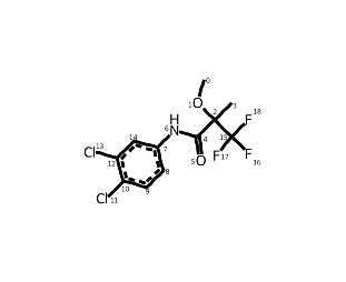 COC(C)(C(=O)Nc1ccc(Cl)c(Cl)c1)C(F)(F)F